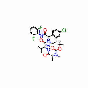 CC(C)[C@H](NC(=O)[C@H](C)N(C)C(=O)OC(C)(C)C)C(=O)N1CCc2cc(Cl)ccc2C1C(=O)Nc1c(F)cccc1F